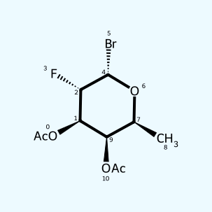 CC(=O)O[C@H]1[C@H](F)[C@H](Br)O[C@@H](C)[C@H]1OC(C)=O